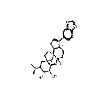 CN(C)[C@H]1C[C@@]23CC[C@]4(O2)C2CC=C(c5ccc6ncoc6c5)[C@@]2(C)CCC4(Cl)C=C3[C@@H](O)[C@@H]1O